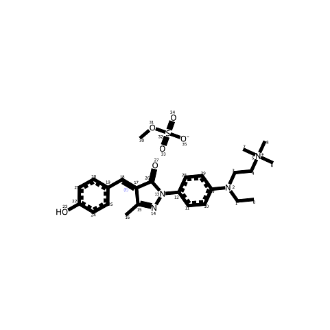 CCN(CC[N+](C)(C)C)c1ccc(N2N=C(C)/C(=C\c3ccc(O)cc3)C2=O)cc1.COS(=O)(=O)[O-]